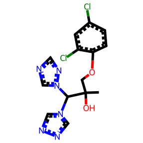 CC(O)(COc1ccc(Cl)cc1Cl)C(n1cnnc1)n1cncn1